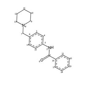 O=C(Nc1ccc(CN2CCCCC2)cc1)c1ccccc1